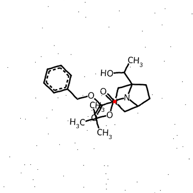 CC(O)C12CCC(CN(C(=O)OCc3ccccc3)C1)N2C(=O)OC(C)(C)C